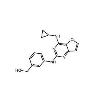 OCc1cccc(Nc2nc(NC3CC3)c3occc3n2)c1